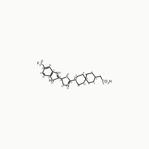 O=C(O)CC1CCC2(CC1)CCN(C1=NCC(c3nc4cc(C(F)(F)F)ccc4[nH]3)S1)CC2